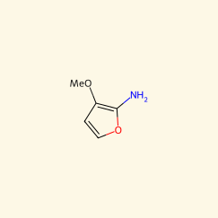 COc1ccoc1N